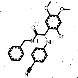 COc1cc(Br)c([C@H](Nc2ccc(C#N)cc2)C(=O)NCc2ccccc2)cc1OC